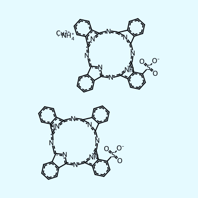 O=S(=O)([O-])c1cccc2c3nc4nc(nc5[n-]c(nc6nc(nc([nH]3)c12)-c1ccccc1-6)c1ccccc51)-c1ccccc1-4.O=S(=O)([O-])c1cccc2c3nc4nc(nc5[nH]c(nc6nc(nc([nH]3)c12)-c1ccccc1-6)c1ccccc51)-c1ccccc1-4.[Cu+2].[NH4+]